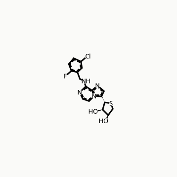 O[C@@H]1[C@H](O)CS[C@H]1c1cnc2c(NCc3cc(Cl)ccc3F)nccn12